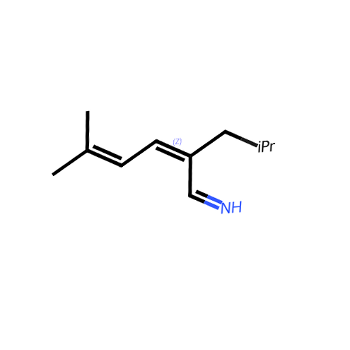 CC(C)=C/C=C(\C=N)CC(C)C